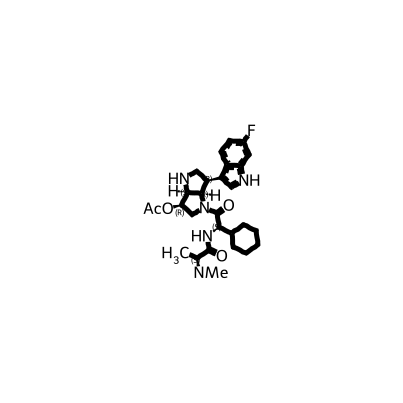 CN[C@@H](C)C(=O)N[C@H](C(=O)N1C[C@@H](OC(C)=O)[C@H]2NC[C@@H](c3c[nH]c4cc(F)ccc34)[C@H]21)C1CCCCC1